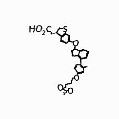 Cc1cc(OCCCS(C)(=O)=O)ccc1-c1cccc2c1CCC2Oc1ccc2c(c1)SC[C@H]2CC(=O)O